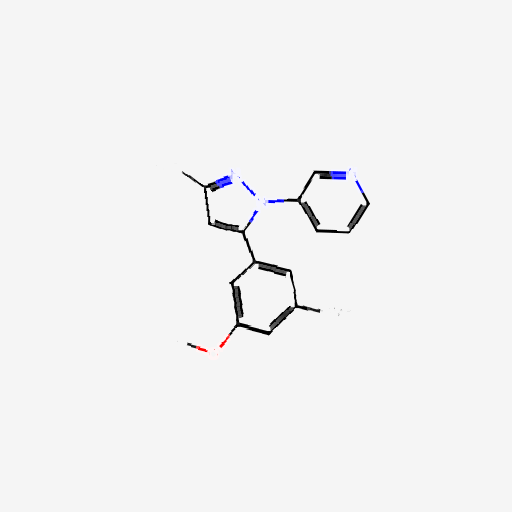 COc1cc(OC(F)(F)F)cc(-c2cc(C(=O)O)nn2-c2cccnc2)c1